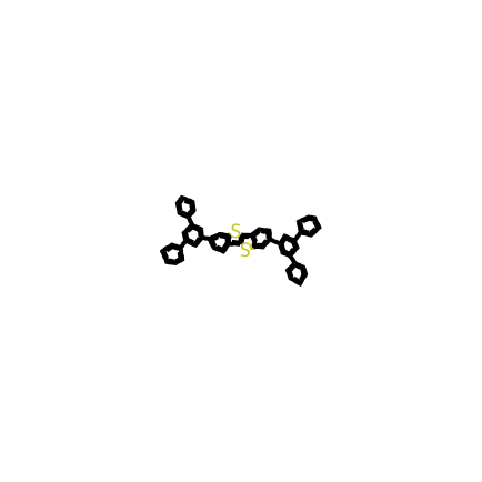 c1ccc(-c2cc(-c3ccccc3)cc(-c3ccc4c(c3)sc3c5ccc(-c6cc(-c7ccccc7)cc(-c7ccccc7)c6)cc5sc43)c2)cc1